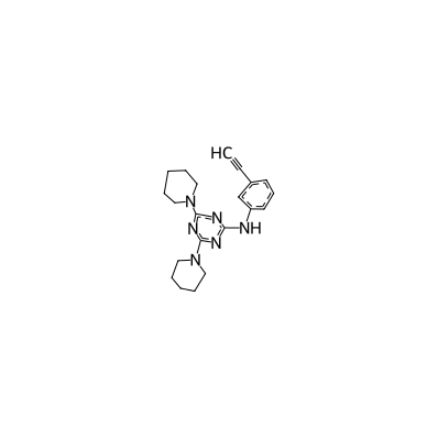 C#Cc1cccc(Nc2nc(N3CCCCC3)nc(N3CCCCC3)n2)c1